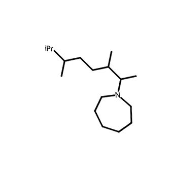 CC(C)C(C)CCC(C)C(C)N1CCCCCC1